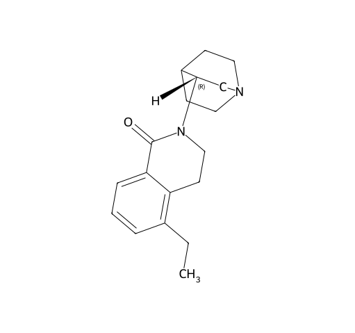 CCc1cccc2c1CCN([C@H]1CN3CCC1CC3)C2=O